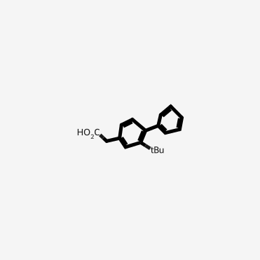 CC(C)(C)c1cc(CC(=O)O)ccc1-c1ccccc1